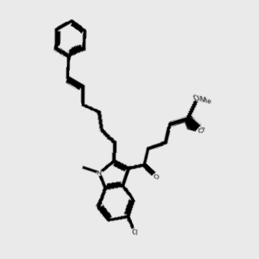 COC(=O)CCCC(=O)c1c(CCCC/C=C/c2ccccc2)n(C)c2ccc(Cl)cc12